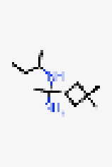 CCC(C)NC(C)(N)C1CC(C)(C)C1